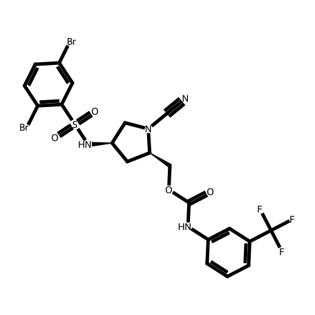 N#CN1C[C@H](NS(=O)(=O)c2cc(Br)ccc2Br)C[C@@H]1COC(=O)Nc1cccc(C(F)(F)F)c1